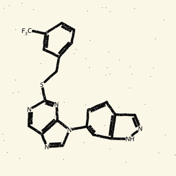 FC(F)(F)c1cccc(CSc2ncc3ncn(-c4ccc5cn[nH]c5c4)c3n2)c1